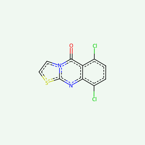 O=c1c2c(Cl)ccc(Cl)c2nc2sccn12